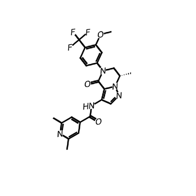 COc1cc(N2C[C@H](C)n3ncc(NC(=O)c4cc(C)nc(C)c4)c3C2=O)ccc1C(F)(F)F